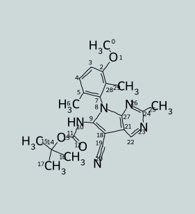 COc1ccc(C)c(-n2c(NC(=O)OC(C)(C)C)c(C#N)c3cnc(C)nc32)c1C